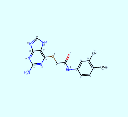 COc1ccc(NC(=O)CSc2nc(N)nc3nc[nH]c23)cc1C#N